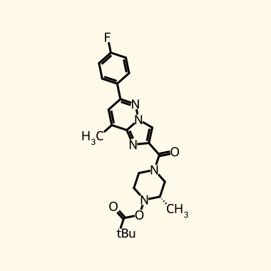 Cc1cc(-c2ccc(F)cc2)nn2cc(C(=O)N3CCN(OC(=O)C(C)(C)C)[C@@H](C)C3)nc12